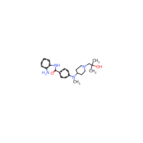 CN(c1ccc(C(=O)Nc2ccccc2N)cc1)C1CCN(CC(C)(C)O)CC1